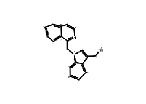 OCc1cn(Cc2nccc3ccccc23)c2ccccc12